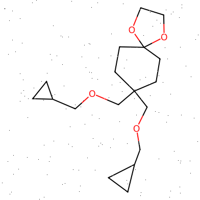 C1COC2(CCC(COCC3CC3)(COCC3CC3)CC2)O1